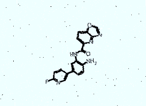 Nc1ccc(-c2ccc(F)nc2)cc1NC(=O)c1ccc2ocnc2n1